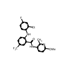 CCc1cc(F)ccc1Nc1ccc(C(F)(F)F)cc1C(=O)Nc1ccc(OC)nc1C